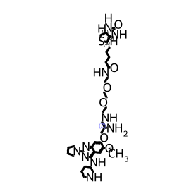 COc1cc2c(NC3CCCNC3)nc(N3CCCC3)nc2cc1OC/C(N)=C/NCCOCCOCCNC(=O)CCCC[C@@H]1SC[C@@H]2NC(=O)N[C@@H]21